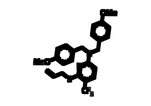 C=CCSc1nc(N(Cc2ccc(OC)cc2)Cc2ccc(OC)cc2)ccc1C(F)(F)F